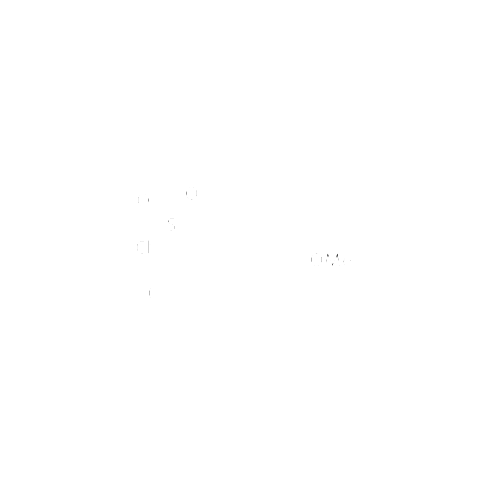 COCc1ccc(Cl)c(S(=O)(=O)Cl)c1